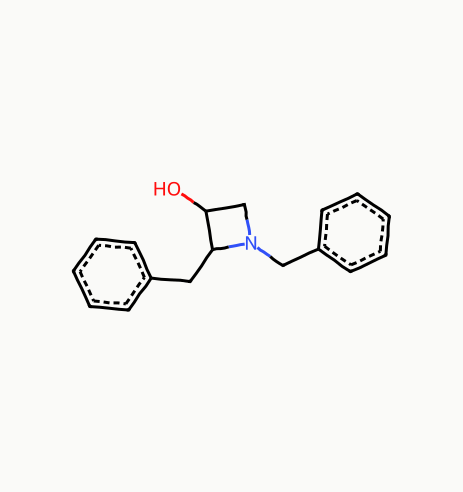 OC1CN(Cc2ccccc2)C1Cc1ccccc1